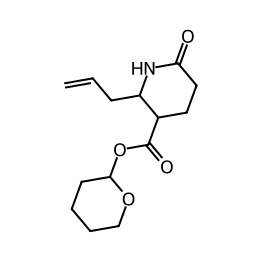 C=CCC1NC(=O)CCC1C(=O)OC1CCCCO1